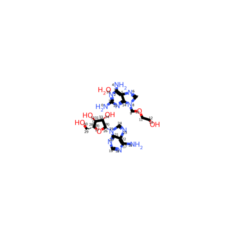 Nc1nc(N)c2ncn(COCCO)c2n1.Nc1ncnc2c1ncn2[C@@H]1O[C@H](CO)[C@@H](O)[C@@H]1O.O